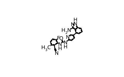 Cc1ccc(F)c(NC(=O)Nc2ccc(-c3cccc4[nH]nc(N)c34)cn2)c1C#N